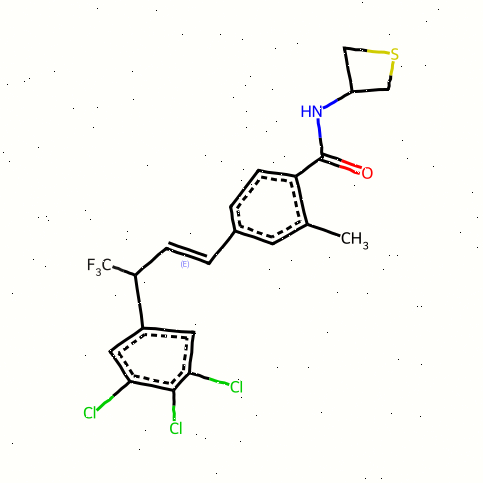 Cc1cc(/C=C/C(c2cc(Cl)c(Cl)c(Cl)c2)C(F)(F)F)ccc1C(=O)NC1CSC1